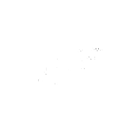 CONS(=O)(=O)c1csc(C(=O)NC(C)C)c1